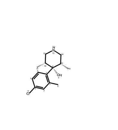 Cc1cc(Cl)ccc1[C@@]1(O)[C@H](C)CNC[C@@H]1C